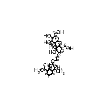 CC(C)c1cccc(C(C)C)c1OC(=O)OCCO[C@@H]1O[C@H](CO)[C@@H](OC2O[C@H](CO)[C@@H](O)[C@H](O)[C@H]2O)[C@H](O)[C@H]1O